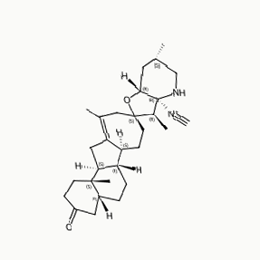 C#[N+][C@@]12NC[C@@H](C)C[C@H]1O[C@]1(CC[C@@H]3C(=C(C)C1)C[C@H]1[C@H]3CC[C@@H]3CC(=O)CC[C@@]31C)[C@@H]2C